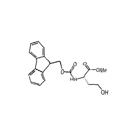 COC(=O)[C@H](CCO)NC(=O)OCC1c2ccccc2-c2ccccc21